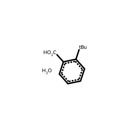 CC(C)(C)c1ccccc1C(=O)O.O